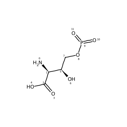 N[C@H](C(=O)O)[C@H](O)COP(=O)=O